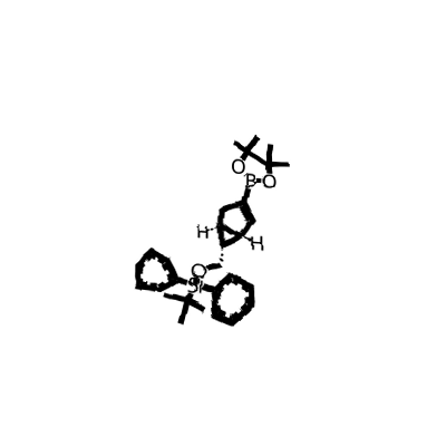 CC1(C)OB(C2=C[C@H]3[C@H](CO[Si](c4ccccc4)(c4ccccc4)C(C)(C)C)[C@H]3C2)OC1(C)C